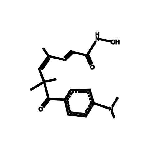 CC(C=CC(=O)NO)=CC(C)(C)C(=O)c1ccc(N(C)C)cc1